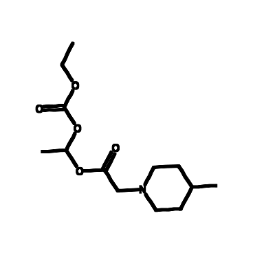 CCOC(=O)OC(C)OC(=O)CN1CCC(C)CC1